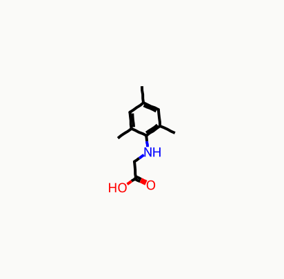 Cc1cc(C)c(NCC(=O)O)c(C)c1